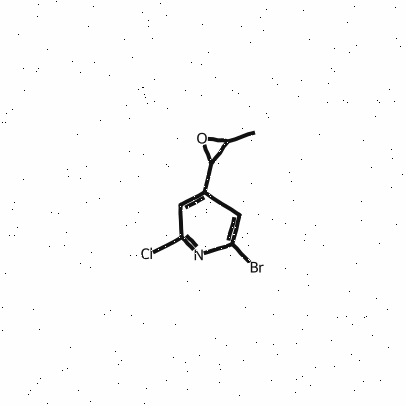 CC1OC1c1cc(Cl)nc(Br)c1